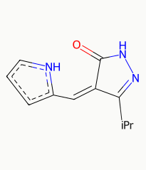 CC(C)C1=NNC(=O)C1=Cc1ccc[nH]1